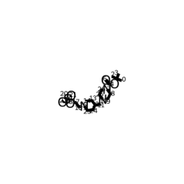 CC(C)(C)OC(=O)N1CCN(CC2CCN(CCOS(C)(=O)=O)CC2)CC1